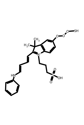 CC1(C)C(/C=C/C=C/Nc2ccccc2)=[N+](CCCS(=O)(=O)O)c2ccc(OOOS)cc21